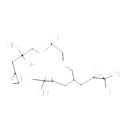 CC(CSCC(CC1SC1(S)S)CC1SC1(S)S)SCC(S)(S)CC1CS1